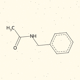 CC(=O)N[CH]c1ccccc1